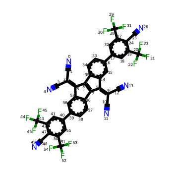 N#CC(C#N)=C1C2=C(C(=C(C#N)C#N)c3cc(-c4cc(C(F)(F)F)c(C#N)c(C(F)(F)F)c4)ccc32)c2ccc(-c3cc(C(F)(F)F)c(C#N)c(C(F)(F)F)c3)cc21